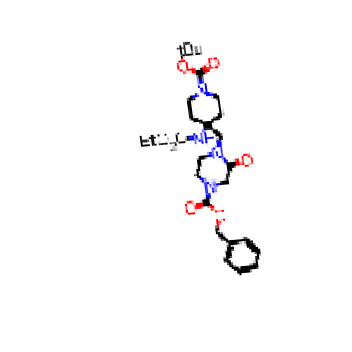 CCOC(=O)NC1(CN2CCN(C(=O)OCc3ccccc3)CC2=O)CCN(C(=O)OC(C)(C)C)CC1